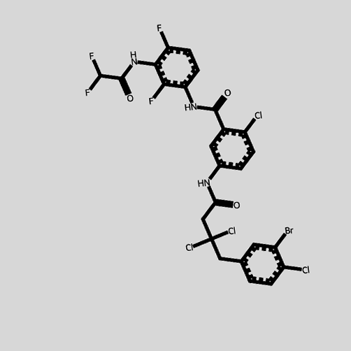 O=C(CC(Cl)(Cl)Cc1ccc(Cl)c(Br)c1)Nc1ccc(Cl)c(C(=O)Nc2ccc(F)c(NC(=O)C(F)F)c2F)c1